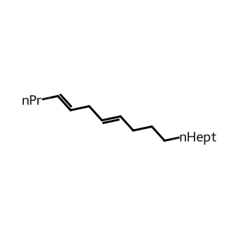 [CH2]CCCCCCCCCC=CCC=CCCC